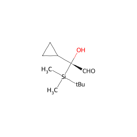 CC(C)(C)[Si](C)(C)[C@](O)(C=O)C1CC1